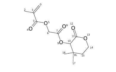 C=C(C)C(=O)OCC(=O)OC1C(=O)OCCC1(C)C